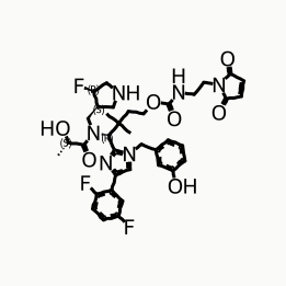 C[C@H](O)C(=O)N(C[C@@H]1CNC[C@@H]1F)[C@@H](c1nc(-c2cc(F)ccc2F)cn1Cc1cccc(O)c1)C(C)(C)CCOC(=O)NCCN1C(=O)C=CC1=O